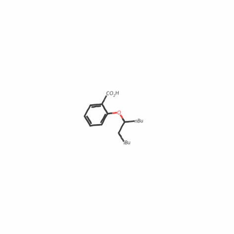 CCCCC(CC(C)CC)Oc1ccccc1C(=O)O